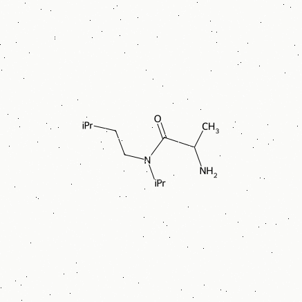 CC(C)CCN(C(=O)C(C)N)C(C)C